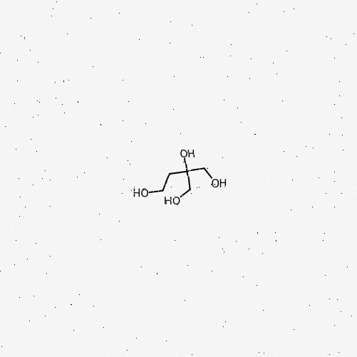 O[CH]C(O)(CO)CCO